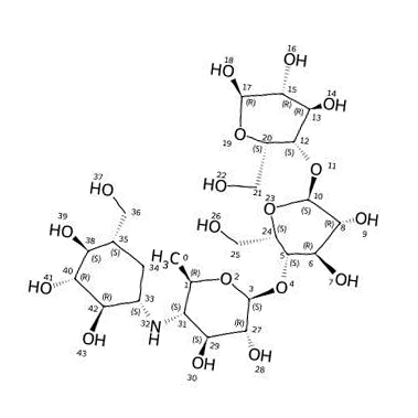 C[C@H]1O[C@@H](O[C@H]2[C@H](O)[C@@H](O)[C@H](O[C@H]3[C@H](O)[C@@H](O)[C@H](O)O[C@H]3CO)O[C@H]2CO)[C@H](O)[C@@H](O)[C@@H]1N[C@H]1C[C@@H](CO)[C@H](O)[C@@H](O)[C@@H]1O